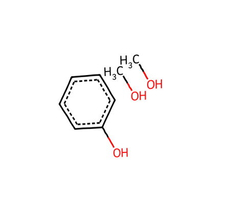 CO.CO.Oc1ccccc1